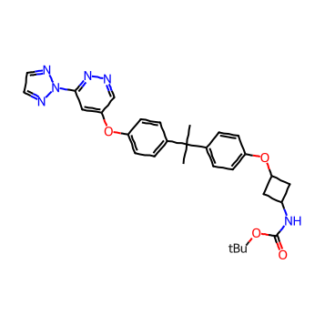 CC(C)(C)OC(=O)NC1CC(Oc2ccc(C(C)(C)c3ccc(Oc4cnnc(-n5nccn5)c4)cc3)cc2)C1